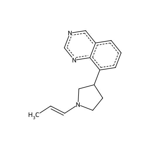 CC=CN1CCC(c2cccc3cncnc23)C1